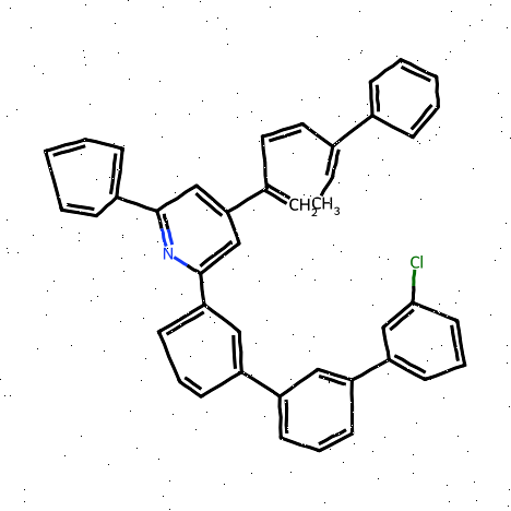 C=C(/C=C\C(=C/C)c1ccccc1)c1cc(-c2ccccc2)nc(-c2cccc(-c3cccc(-c4cccc(Cl)c4)c3)c2)c1